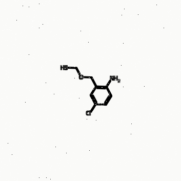 Nc1ccc(Cl)cc1COCS